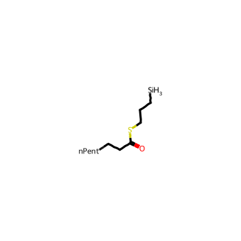 CCCCCCCC(=O)SCCC[SiH3]